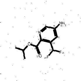 CC(C)OC(=O)c1ncc(N)cc1C(F)F